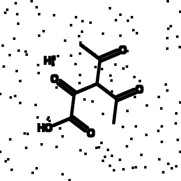 CC(=O)C(C(C)=O)C(=O)C(=O)O.[Hf]